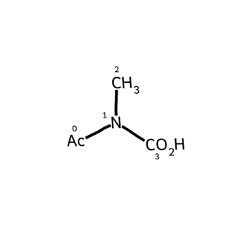 CC(=O)N(C)C(=O)O